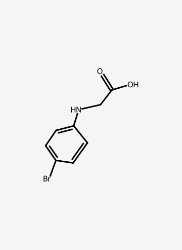 O=C(O)CNc1ccc(Br)cc1